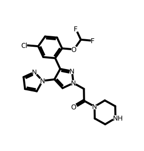 O=C(Cn1cc(-n2cccn2)c(-c2cc(Cl)ccc2OC(F)F)n1)N1CCNCC1